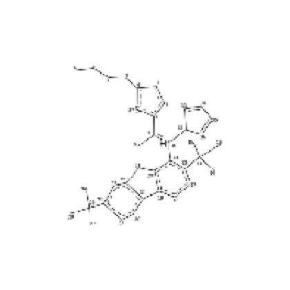 CCCCc1ccc([C](C)=[Hf]([c]2c(C(C)(C)C)ccc3c2Cc2cc(C(C)(C)C)ccc2-3)[CH]2C=CC=C2)s1